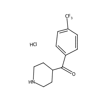 Cl.O=C(c1ccc(C(F)(F)F)cc1)C1CCNCC1